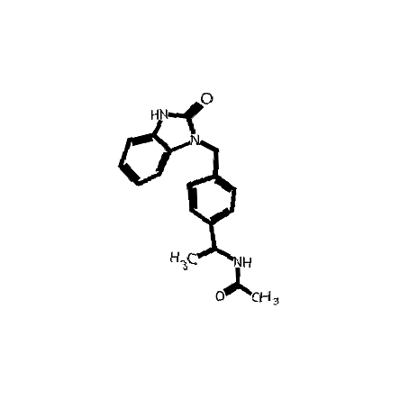 CC(=O)NC(C)c1ccc(Cn2c(=O)[nH]c3ccccc32)cc1